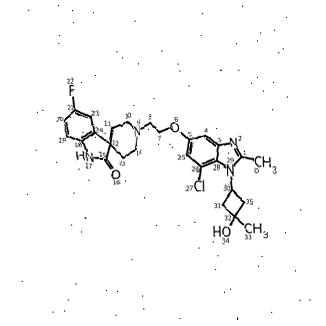 Cc1nc2cc(OCCN3CCC4(CC3)C(=O)Nc3ccc(F)cc34)cc(Cl)c2n1C1CC(C)(O)C1